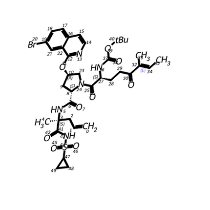 C=CC[C@](C)(NC(=O)[C@@H]1C[C@@H](Oc2nccc3ccc(Br)cc23)CN1C(=O)[C@H](CCC(=O)/C(C)=C/C)NC(=O)OC(C)(C)C)C(=O)NS(=O)(=O)C1CC1